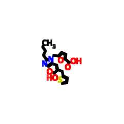 CCCCc1ncc(C=C(Cc2cccs2)C(=O)O)n1Cc1ccc(C(=O)O)o1